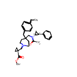 CC(C)(C)OC(=O)C1(CN2CCC(Cc3ccc(CC#N)cc3)(CN(C(=O)C(F)(F)F)[C@@H]3C[C@H]3c3ccccc3)CC2)CC1